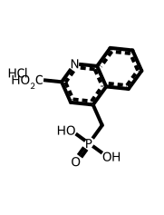 Cl.O=C(O)c1cc(CP(=O)(O)O)c2ccccc2n1